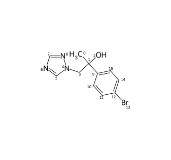 CC(O)(Cn1cncn1)c1ccc(Br)cc1